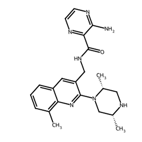 Cc1cccc2cc(CNC(=O)c3nccnc3N)c(N3C[C@@H](C)NC[C@H]3C)nc12